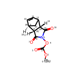 CC(C)(C)OC(=O)ON1C(=O)[C@@H]2[C@H]3C=CC(C3)[C@@H]2C1=O